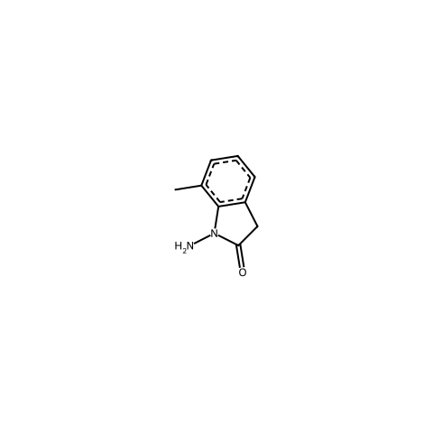 Cc1cccc2c1N(N)C(=O)C2